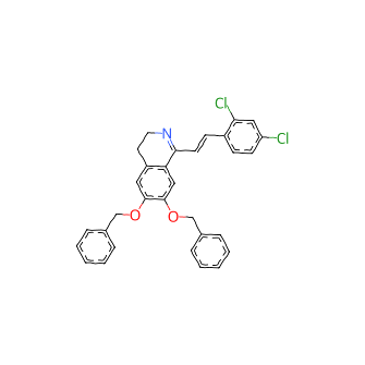 Clc1ccc(C=CC2=NCCc3cc(OCc4ccccc4)c(OCc4ccccc4)cc32)c(Cl)c1